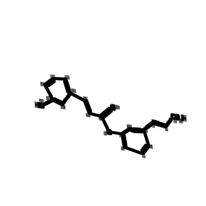 O=C(O)C=Cc1cccc(OC(=O)C=Cc2cccc(O)c2)c1